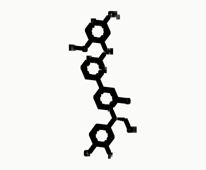 CCOc1cnc(C)cc1Nc1nccc(-c2ccn([C@H](CO)c3ccc(Cl)c(F)c3)c(=O)c2)n1